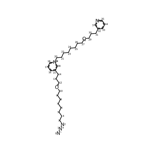 [N-]=[N+]=NCCCCCCCCOCCCc1ccc[n+](CCCCCCCCOCCCc2cccnc2)c1